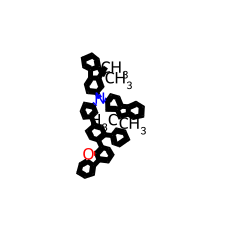 CC1(C)c2ccccc2-c2ccc(N(c3cccc(-c4ccc(-c5cccc6c5oc5ccccc56)c(-c5ccccc5)c4)c3)c3ccc4c(c3)C(C)(C)c3ccccc3-4)cc21